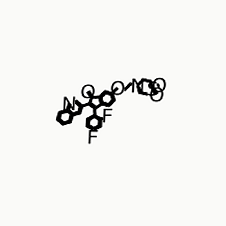 O=C1C(c2cnc3ccccc3c2)=C(c2ccc(F)cc2F)c2ccc(OCCN3CCS(=O)(=O)CC3)cc21